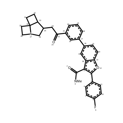 CNC(=O)c1c(-c2ccc(F)cc2)oc2ccc(-c3cccc(C(=O)CC4CN5CCC56CCC46)c3)cc12